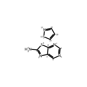 Nc1nc2cncnc2s1.c1cnsc1